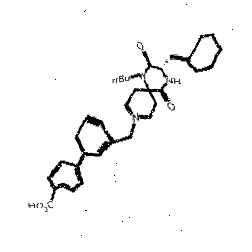 CCCCN1C(=O)[C@H](CC2CCCCC2)NC(=O)C12CCN(Cc1cccc(-c3ccc(C(=O)O)cc3)c1)CC2